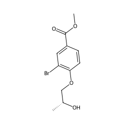 COC(=O)c1ccc(OC[C@@H](C)O)c(Br)c1